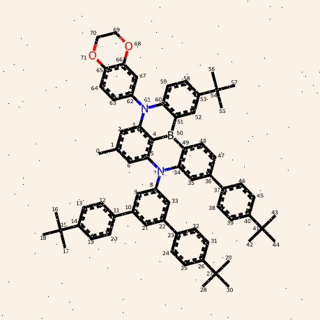 Cc1cc2c3c(c1)N(c1cc(-c4ccc(C(C)(C)C)cc4)cc(-c4ccc(C(C)(C)C)cc4)c1)c1cc(-c4ccc(C(C)(C)C)cc4)ccc1B3c1cc(C(C)(C)C)ccc1N2c1ccc2c(c1)OCCO2